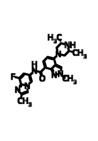 Cc1cn2cc(NC(=O)c3ccc(N4C[C@H](C)N[C@@H](C)C4)c4cn(C)nc34)cc(F)c2n1